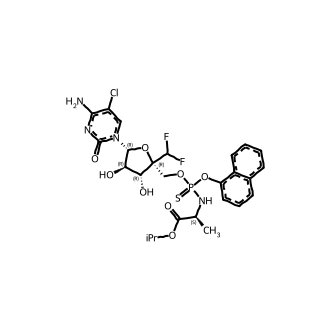 CC(C)OC(=O)[C@H](C)NP(=S)(OC[C@@]1(C(F)F)O[C@@H](n2cc(Cl)c(N)nc2=O)[C@H](O)[C@H]1O)Oc1cccc2ccccc12